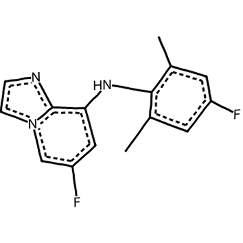 Cc1cc(F)cc(C)c1Nc1cc(F)cn2ccnc12